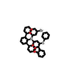 Brc1cccc(N(c2cc(Sc3ccccc3)c3c(c2)oc2ccccc23)c2c(-c3ccccc3)cccc2-c2ccccc2)c1